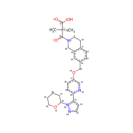 CC(C)(C(=O)O)C(=O)N1CCc2ccc(COc3ccc(-c4ccnn4C4CCCCO4)nc3)cc2C1